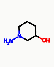 NN1CCCC(O)C1